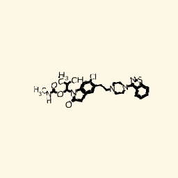 CNC(=O)OC(C(C)C)N1C(=O)Cc2cc(CCN3CCN(c4nsc5ccccc45)CC3)c(Cl)cc21